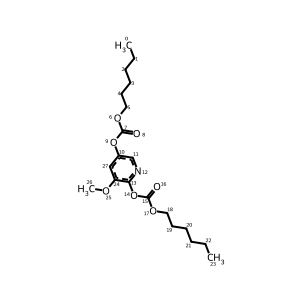 CCCCCCOC(=O)Oc1cnc(OC(=O)OCCCCCC)c(OC)c1